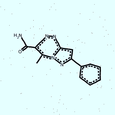 Cc1c(C(N)=O)nnc2cc(-c3ccccc3)nn12